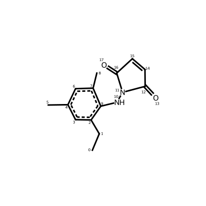 CCc1cc(C)cc(C)c1NN1C(=O)C=CC1=O